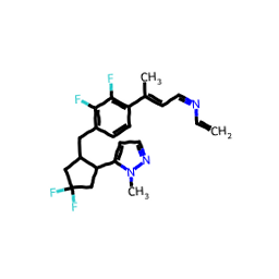 C=C/N=C\C=C(/C)c1ccc(CC2CC(F)(F)CC2c2ccnn2C)c(F)c1F